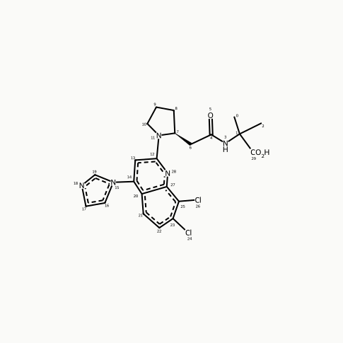 CC(C)(NC(=O)C[C@@H]1CCCN1c1cc(-n2ccnc2)c2ccc(Cl)c(Cl)c2n1)C(=O)O